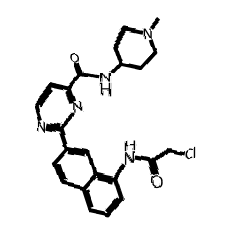 CN1CCC(NC(=O)c2ccnc(-c3ccc4cccc(NC(=O)CCl)c4c3)n2)CC1